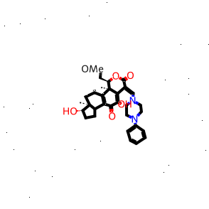 COC[C@H]1OC(=O)/C(=C/N2CCN(c3ccccc3)CC2)C2=C(O)C(=O)C3=C([C]C[C@@]4(C)C3CC[C@@H]4O)[C@]21C